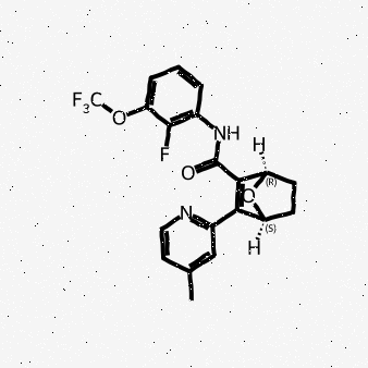 Cc1ccnc(C2=C(C(=O)Nc3cccc(OC(F)(F)F)c3F)[C@H]3CC[C@@H]2O3)c1